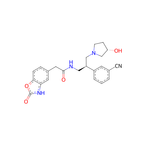 N#Cc1cccc([C@@H](CNC(=O)Cc2ccc3oc(=O)[nH]c3c2)CN2CC[C@H](O)C2)c1